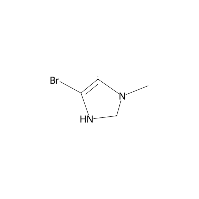 CN1[C]=C(Br)NC1